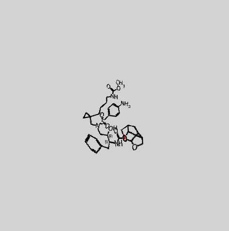 COC(=O)NCCCCC1(CN(C[C@@H](O)[C@H](Cc2ccccc2)NC(=O)OC2C3COC4OCC2C4C3)S(=O)(=O)c2ccc(N)cc2)CC1